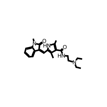 CCN(CC)CCNC(=O)c1c(C)[nH]c(/C=C2\C(=O)N(C)c3ccccc32)c1C